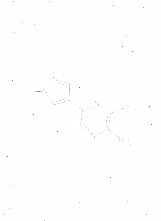 Cn1cc(-c2cnc(N)c(Br)n2)cn1